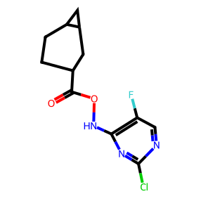 O=C(ONc1nc(Cl)ncc1F)C1CCC2CC2C1